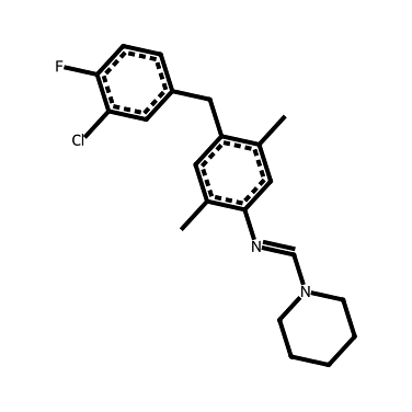 Cc1cc(N=CN2CCCCC2)c(C)cc1Cc1ccc(F)c(Cl)c1